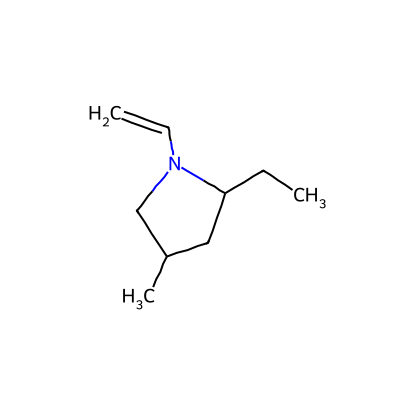 C=CN1CC(C)CC1CC